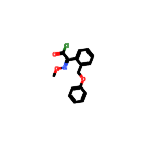 CON=C(C(=O)Cl)c1ccccc1COc1ccccc1